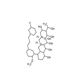 COC1CCC(CCCC2CCCC(F)C2)CC1C1CCC(O)C2C(O)C3C(O)[C@]4(O)C(O)C(C(C)O)C(O)C[C@@H]4C[C@@H]3CC12